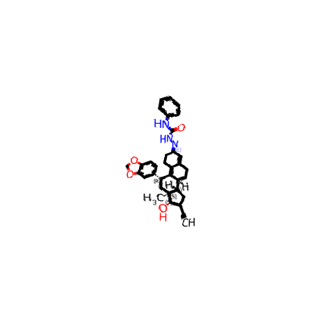 C#CC1C[C@H]2[C@@H]3CCC4=C/C(=N/NC(=O)Nc5ccccc5)CCC4=C3[C@@H](c3ccc4c(c3)OCO4)C[C@]2(C)[C@H]1O